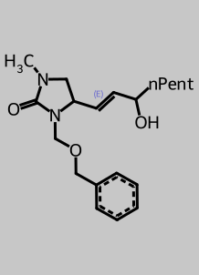 CCCCCC(O)/C=C/C1CN(C)C(=O)N1COCc1ccccc1